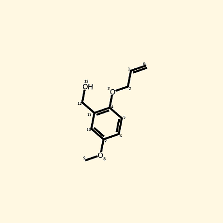 C=CCOc1ccc(OC)cc1CO